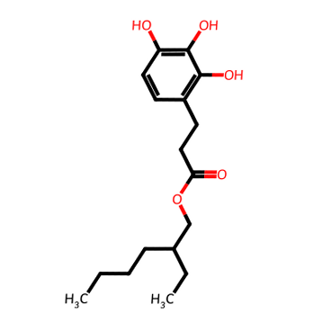 CCCCC(CC)COC(=O)CCc1ccc(O)c(O)c1O